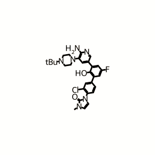 Cn1ccn(-c2ccc(-c3cc(F)cc(-c4cnc(N)c(N5CCN(C(C)(C)C)CC5)c4)c3O)cc2Cl)c1=O